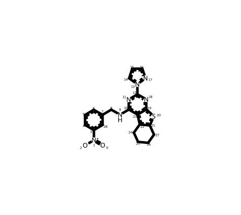 O=[N+]([O-])c1cccc(CNc2nc(-n3cccn3)nc3sc4c(c23)CCCC4)c1